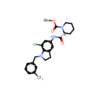 CC(C)(C)OC(=O)N1CCCC[C@@H]1C(=O)Nc1cc(Cl)c2c(c1)CCN2Cc1cccc(C(F)(F)F)c1